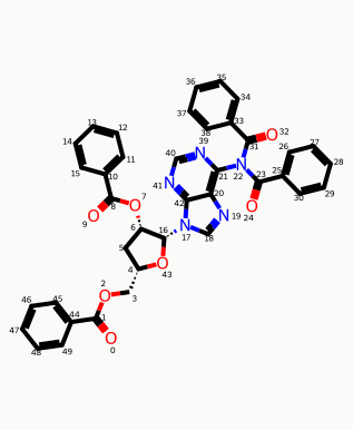 O=C(OC[C@@H]1C[C@H](OC(=O)c2ccccc2)[C@H](n2cnc3c(N(C(=O)c4ccccc4)C(=O)c4ccccc4)ncnc32)O1)c1ccccc1